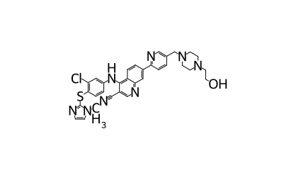 Cn1ccnc1Sc1ccc(Nc2c(C#N)cnc3cc(-c4ccc(CN5CCN(CCO)CC5)cn4)ccc23)cc1Cl